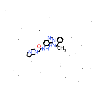 C[C@@H](Nc1ncnc2ccc(NC(=O)CN3CCN4CCCC4C3)cc12)c1ccccc1